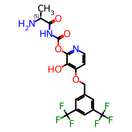 C[C@H](N)C(=O)NC(=O)Oc1nccc(OCc2cc(C(F)(F)F)cc(C(F)(F)F)c2)c1O